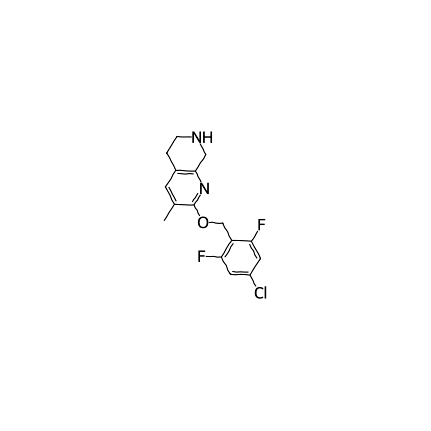 Cc1cc2c(nc1OCc1c(F)cc(Cl)cc1F)CNCC2